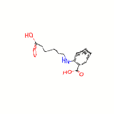 O=C(O)CCCCCNc1ccccc1C(=O)O